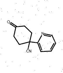 N#CC1(c2ccccn2)CCC(=O)CC1